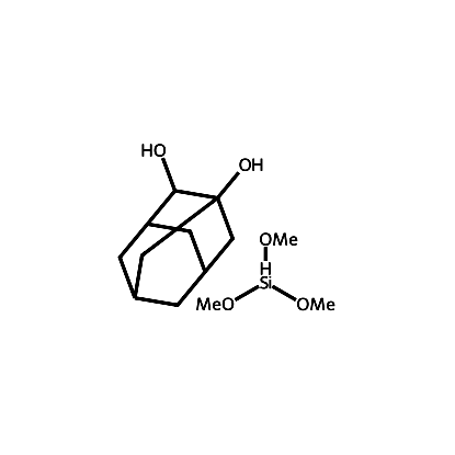 CO[SiH](OC)OC.OC1C2CC3CC(C2)CC1(O)C3